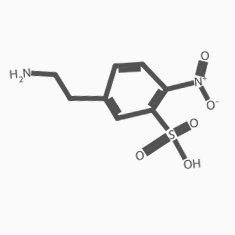 NCCc1ccc([N+](=O)[O-])c(S(=O)(=O)O)c1